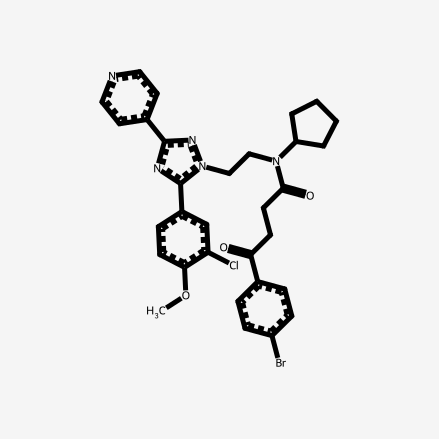 COc1ccc(-c2nc(-c3ccncc3)nn2CCN(C(=O)CCC(=O)c2ccc(Br)cc2)C2CCCC2)cc1Cl